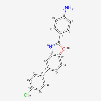 Nc1ccc(-c2nc3cc(-c4ccc(Cl)cc4)ccc3o2)cc1